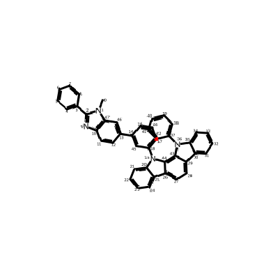 Cn1c(-c2ccccc2)nc2ccc(-c3cccc(-n4c5ccccc5c5ccc6c7ccccc7n(-c7ccccc7)c6c54)c3)cc21